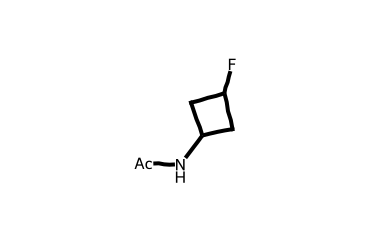 CC(=O)NC1CC(F)C1